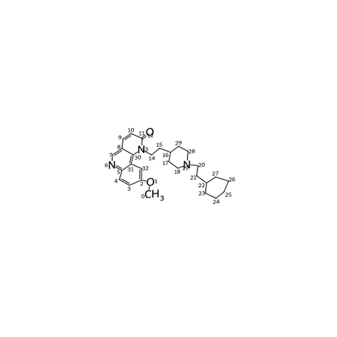 COc1ccc2ncc3ccc(=O)n(CCC4CCN(CCC5CCCCC5)CC4)c3c2c1